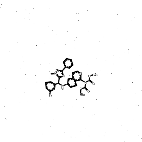 CCc1cccc(C(Nc2ccc3c(N(C(=O)OC(C)(C)C)C(=O)OC(C)(C)C)nccc3c2)c2nc(-c3ccccc3)nn2C)c1